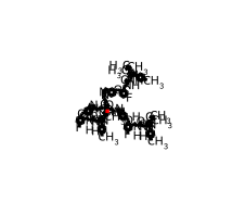 Cc1ccc(-n2nc(C(C)(C)C)cc2NC(=O)NCc2cc(F)ccc2Oc2ccc3c(cnn3CCOP(=O)(OCCn3ncc4cc(Oc5ccc(F)cc5CNC(=O)Nc5cc(C(C)(C)C)nn5-c5ccc(C)cc5)ccc43)OCCn3ncc4cc(Oc5ccc(F)cc5CNC(=O)Nc5cc(C(C)(C)C)nn5-c5ccc(C)cc5)ccc43)c2)cc1